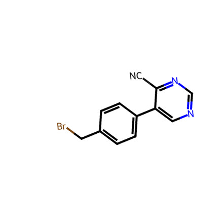 N#Cc1ncncc1-c1ccc(CBr)cc1